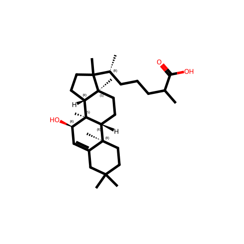 CC(CCC[C@@H](C)C1(C)CC[C@H]2[C@]3(C)[C@H](O)C=C4CC(C)(C)CC[C@]4(C)[C@H]3CC[C@@]21C)C(=O)O